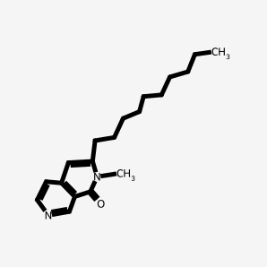 CCCCCCCCCCc1cc2ccncc2c(=O)n1C